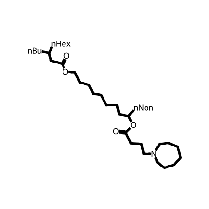 CCCCCCCCCC(CCCCCCCCOC(=O)CC(CCCC)CCCCCC)OC(=O)CCCN1CCCCCCC1